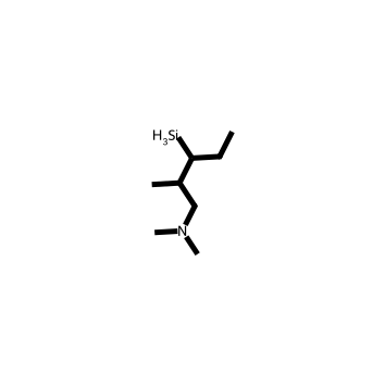 CCC([SiH3])C(C)CN(C)C